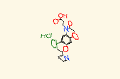 C[C@@H](Oc1cc2c(cc1Cl)N(CCC(=O)O)C(=O)CO2)c1ccccn1.Cl